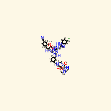 C=N/C(C(=O)N1CCN(Cc2cccc(Nc3nc(NCc4nc5cc(F)ccc5[nH]4)nc(N[C@@H](Cc4ccc(C#N)cc4)C(=O)OC)n3)c2)CC1)=C(O)\N=C/C